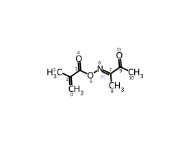 C=C(C)C(=O)O/N=C(\C)C(C)=O